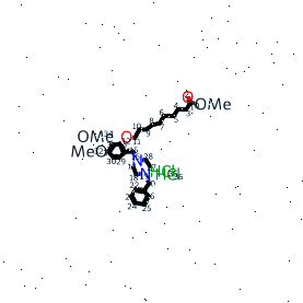 COC(=O)CCCCCCCCCOc1c(CN2CCN(Cc3ccccc3)CC2)ccc(OC)c1OC.Cl.Cl